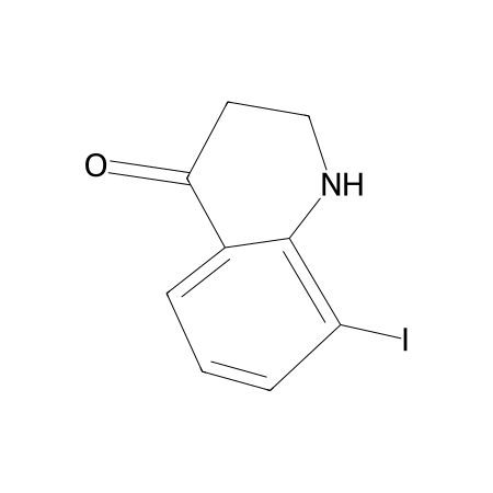 O=C1CCNc2c(I)cccc21